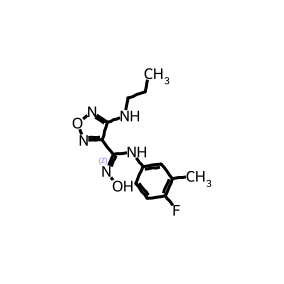 CCCNc1nonc1/C(=N/O)Nc1ccc(F)c(C)c1